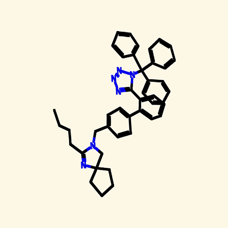 CCCCC1=NC2(CCCC2)CN1Cc1ccc(-c2ccccc2-c2nnnn2C(c2ccccc2)(c2ccccc2)c2ccccc2)cc1